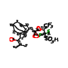 C=C(C)C(=O)CC12CC3CC(C1)CC(C(=O)OC(C(F)(F)F)C(F)(F)S(=O)(=O)O)(C3)C2